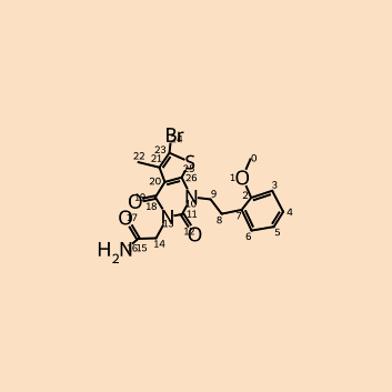 COc1ccccc1CCn1c(=O)n(CC(N)=O)c(=O)c2c(C)c(Br)sc21